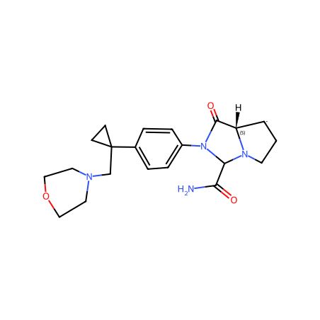 NC(=O)C1N(c2ccc(C3(CN4CCOCC4)CC3)cc2)C(=O)[C@@H]2[CH]CCN12